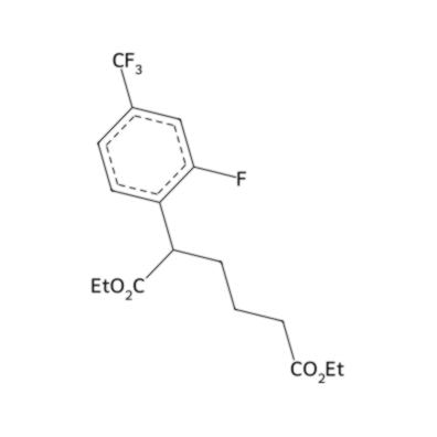 CCOC(=O)CCCC(C(=O)OCC)c1ccc(C(F)(F)F)cc1F